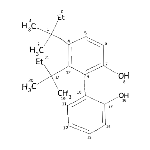 CCC(C)(C)c1ccc(O)c(-c2ccccc2O)c1C(C)(C)CC